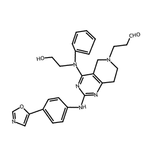 O=CCCN1CCc2nc(Nc3ccc(-c4cnco4)cc3)nc(N(CCO)c3ccccc3)c2C1